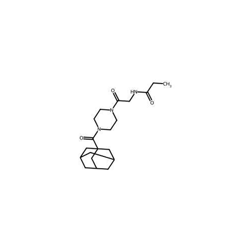 CCC(=O)NCC(=O)N1CCN(C(=O)C23CC4CC(CC(C4)C2)C3)CC1